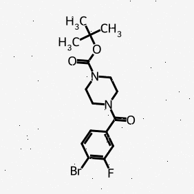 CC(C)(C)OC(=O)N1CCN(C(=O)c2ccc(Br)c(F)c2)CC1